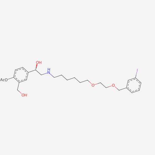 CC(=O)Oc1ccc([C@@H](O)CNCCCCCCOCCOCc2cccc(I)c2)cc1CO